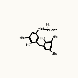 CC(C)(C)c1cc(Cc2cc(C(C)(C)C)cc(C(C)(C)C)c2O)c(O)c(C(C)(C)C)c1.CCCCCCl.P